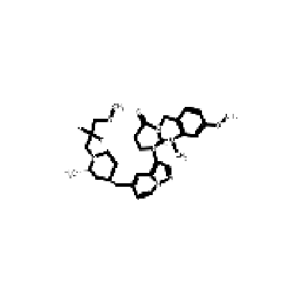 COCC(F)(F)CN1CC[C@@H](Cc2ccn3ncc(N4CCC(=O)N(Cc5ccc(OC)cc5OC)C4=O)c3c2)C[C@@H]1C